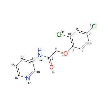 O=C(COc1ccc(Cl)cc1Cl)Nc1cccnc1